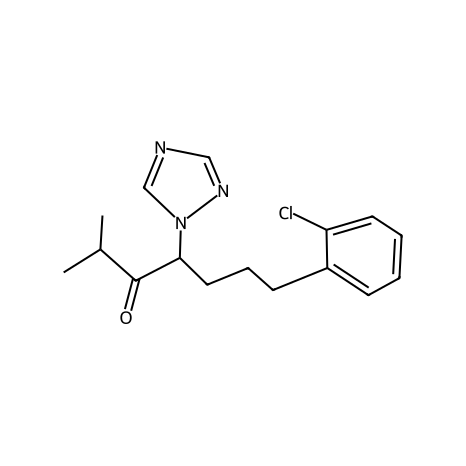 CC(C)C(=O)C(CCCc1ccccc1Cl)n1cncn1